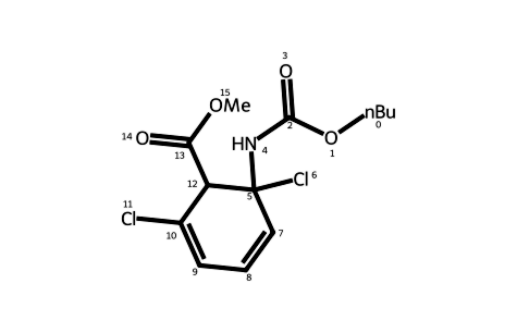 CCCCOC(=O)NC1(Cl)C=CC=C(Cl)C1C(=O)OC